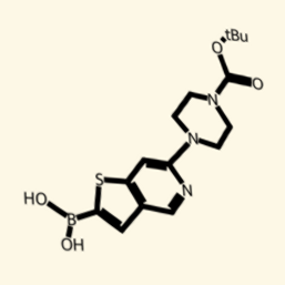 CC(C)(C)OC(=O)N1CCN(c2cc3sc(B(O)O)cc3cn2)CC1